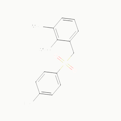 COc1cccc([CH]S(=O)(=O)c2ccc(C)cc2)c1OC